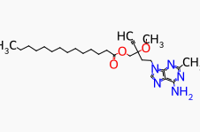 C#CC(CCn1cnc2c(N)nc(C)nc21)(COC(=O)CCCCCCCCCCCCC)OC